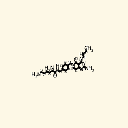 CCCCNc1nc(N)nc2ccn(Cc3ccc(CNC(=O)[C@@H](N)CCCCN)cc3)c(=O)c12